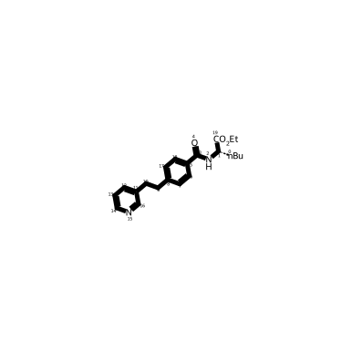 CCCC[C@H](NC(=O)c1ccc(CCc2cccnc2)cc1)C(=O)OCC